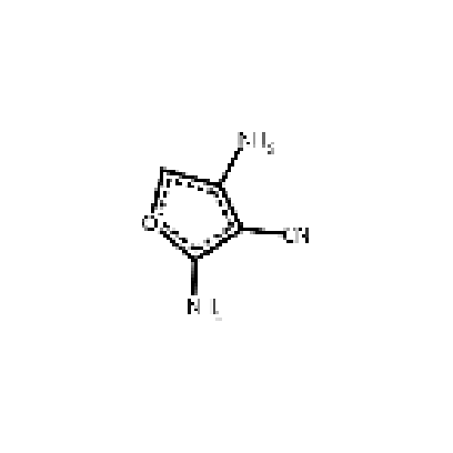 N#Cc1c(N)coc1N